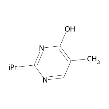 Cc1cnc(C(C)C)nc1O